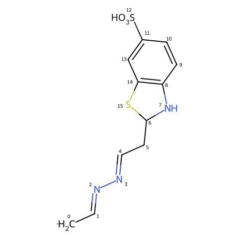 [CH2]C=NN=CCC1Nc2ccc(S(=O)(=O)O)cc2S1